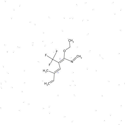 C=C/C(C)=C/C(=C(\N=C)OCC)C(F)(F)F